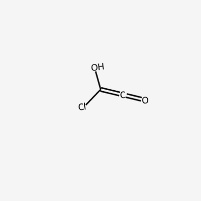 O=C=C(O)Cl